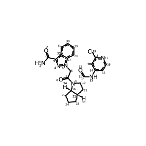 NC(=O)c1nn(CC(=O)N2[C@H](C(=O)Nc3ccnc(Cl)c3)C[C@@H]3CCC[C@@H]32)c2ccccc12